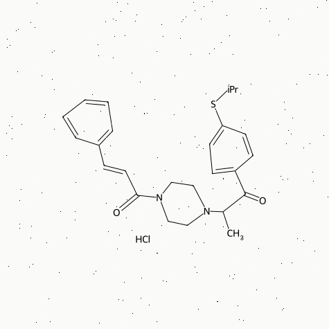 CC(C)Sc1ccc(C(=O)C(C)N2CCN(C(=O)/C=C/c3ccccc3)CC2)cc1.Cl